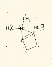 C[N+]1(C)C2=C1CC2.Cl.[Cl-]